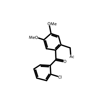 COc1cc(CC(C)=O)c(C(=O)c2ccccc2Cl)cc1OC